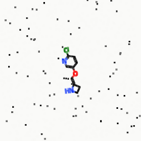 Clc1ccc(O/C=C2\CCN2)cn1